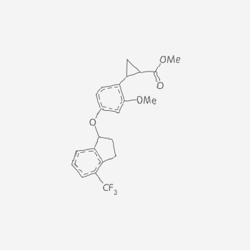 COC(=O)C1CC1c1ccc(OC2CCc3c2cccc3C(F)(F)F)cc1OC